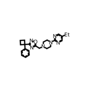 CCc1cnc(N2CCN(Cc3nc(C4(c5ccccc5)CCC4)no3)CC2)nc1